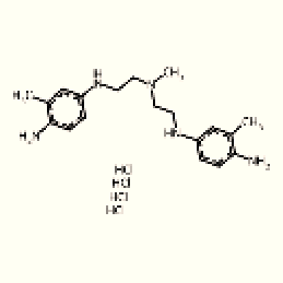 Cc1cc(NCCN(C)CCNc2ccc(N)c(C)c2)ccc1N.Cl.Cl.Cl.Cl